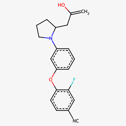 [C-]#[N+]c1ccc(Oc2cccc(N3CCCC3CC(=C)O)c2)c(F)c1